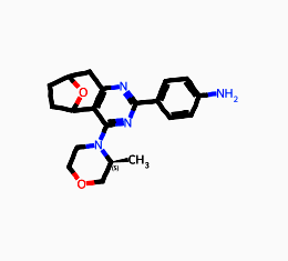 C[C@H]1COCCN1c1nc(-c2ccc(N)cc2)nc2c1C1CCC(C2)O1